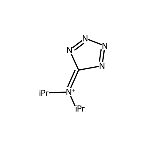 CC(C)[N+](=C1N=NN=N1)C(C)C